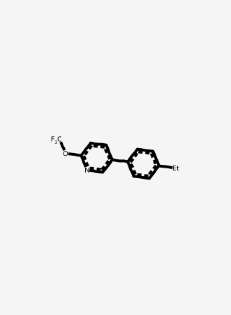 CCc1ccc(-c2ccc(OC(F)(F)F)nc2)cc1